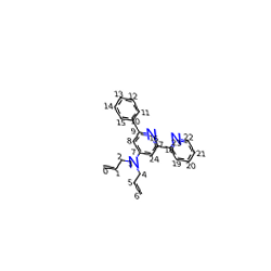 C=CCN(CC=C)c1cc(-c2ccccc2)nc(-c2ccccn2)c1